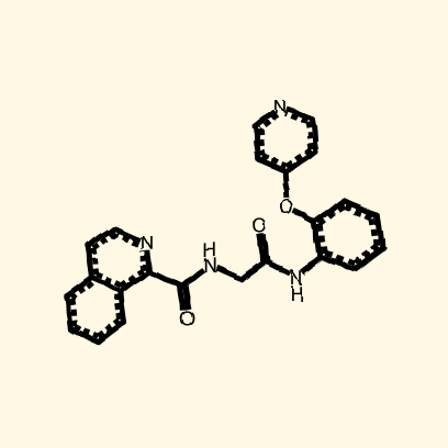 O=C(CNC(=O)c1nccc2ccccc12)Nc1ccccc1Oc1ccncc1